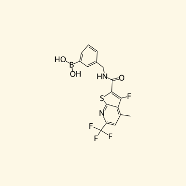 Cc1cc(C(F)(F)F)nc2sc(C(=O)NCc3cccc(B(O)O)c3)c(F)c12